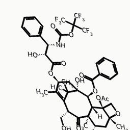 CO[C@H]1C[C@@]2(C)OC[C@@]2(OC(C)=O)[C@H]2[C@H](OC(=O)c3ccccc3)[C@]3(O)C[C@H](OC(=O)[C@H](O)[C@@H](NC(=O)OC(C(F)(F)F)(C(F)(F)F)C(F)(F)F)c4ccccc4)C(C)=C([C@@H](CO)C(=O)[C@]12C)C3(C)C